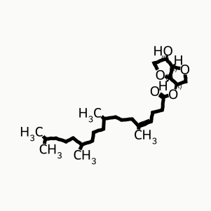 CC(=CCCC(=O)O[C@@H]1CO[C@H]2[C@@H]1OC[C@@H]2O)CCCC(C)CCCC(C)CCCC(C)C